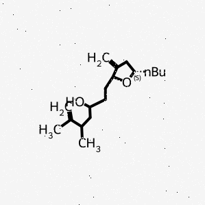 C=C(C)C(C)CC(O)CCC1O[C@@H](CCCC)CC1=C